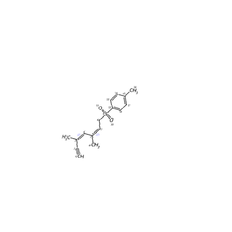 C#C/C(C)=C\C(C)=C/CS(=O)(=O)c1ccc(C)cc1